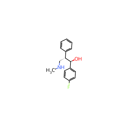 CNC[C@H](c1ccccc1)[C@@H](O)c1ccc(F)cc1